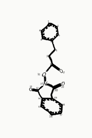 O=C(CCc1ccccc1)ON1C(=O)c2ccccc2C1=O